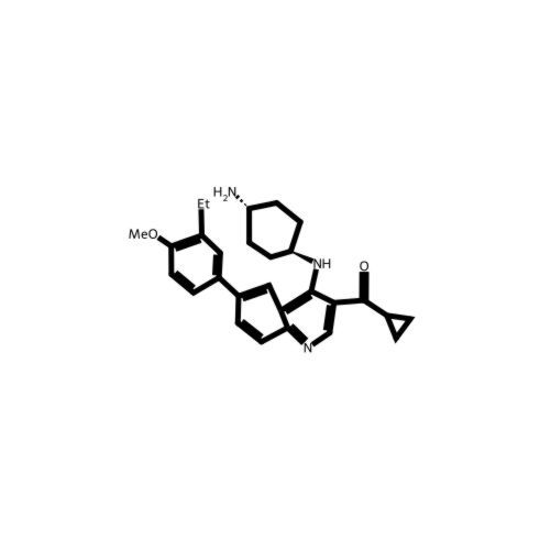 CCc1cc(-c2ccc3ncc(C(=O)C4CC4)c(N[C@H]4CC[C@H](N)CC4)c3c2)ccc1OC